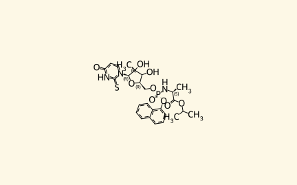 CC(C)OC(=O)[C@H](C)NP(=O)(OC[C@H]1O[C@@H](n2ccc(=O)[nH]c2=S)[C@](C)(O)C1O)Oc1cccc2ccccc12